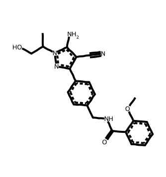 COc1ccccc1C(=O)NCc1ccc(-c2nn(C(C)CO)c(N)c2C#N)cc1